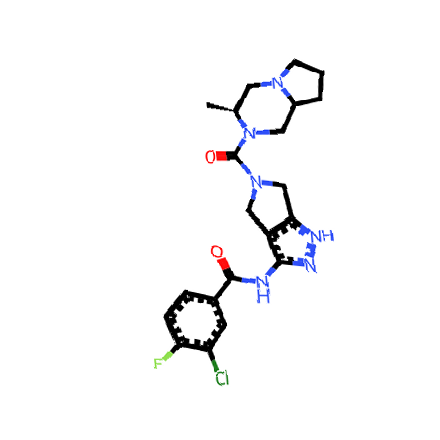 C[C@H]1CN2CCCC2CN1C(=O)N1Cc2[nH]nc(NC(=O)c3ccc(F)c(Cl)c3)c2C1